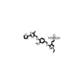 CCn1cc(C=CP(=O)(O)O)c(OCc2ccc(OCc3nc(-c4ccco4)oc3C)c(OC)c2)n1